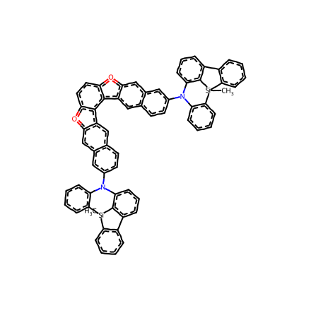 C[Si]12c3ccccc3-c3cccc(c31)N(c1ccc3cc4c(cc3c1)oc1ccc3oc5cc6cc(N7c8ccccc8[Si]8(C)c9ccccc9-c9cccc7c98)ccc6cc5c3c14)c1ccccc12